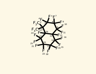 FC(F)(F)C1(C(F)(F)F)C(F)(F)C(F)(F)C(F)(F)C2(F)C(F)(F)C(F)(F)C(F)(F)C(F)(F)C21F